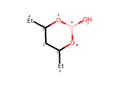 CCC1CC(CC)OB(O)O1